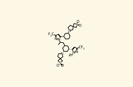 CC(C)n1nc(C(F)(F)F)cc1[C@H]1CC(CC(C)n2nc(C(F)(F)F)cc2[C@@H]2CCC[C@H](N3CCC4(C3)CS(=O)(=O)C4)C2)C[C@@H](N2CCC3(C2)CS(=O)(=O)C3)C1